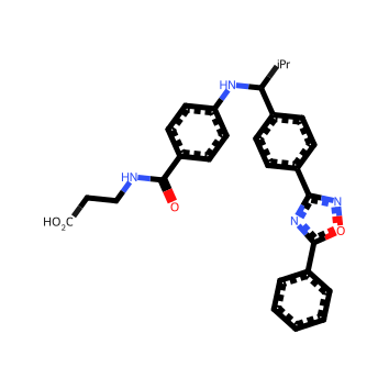 CC(C)C(Nc1ccc(C(=O)NCCC(=O)O)cc1)c1ccc(-c2noc(-c3ccccc3)n2)cc1